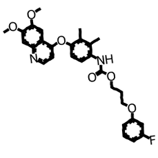 COc1cc2nccc(Oc3ccc(NC(=O)OCCCOc4cccc(F)c4)c(C)c3C)c2cc1OC